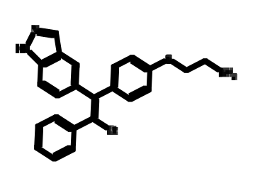 CCC(=C(c1ccc(SCCN)cc1)c1ccc2[nH]ncc2c1)c1ccccc1